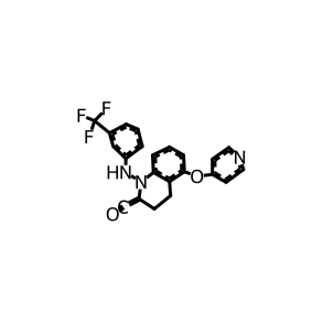 O=C=C1CCc2c(Oc3ccncc3)cccc2N1Nc1cccc(C(F)(F)F)c1